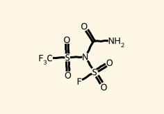 NC(=O)N(S(=O)(=O)F)S(=O)(=O)C(F)(F)F